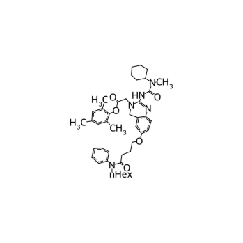 CCCCCCN(C(=O)CCCOc1ccc2c(c1)CN(CC(=O)Oc1c(C)cc(C)cc1C)C(NC(=O)N(C)C1CCCCC1)=N2)c1ccccc1